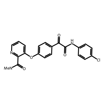 CNC(=O)c1ncccc1Oc1ccc(C(=O)C(=O)Nc2ccc(Cl)cc2)cc1